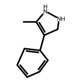 CC1=C(c2ccccc2)CNN1